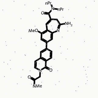 CCCN(CCC)C(=O)C1=Cc2c(cc(-c3ccc4c(=O)n(CC(=O)NC)ccc4c3)cc2OC)N=C(N)C1